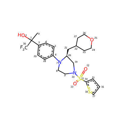 CC(O)(c1ccc(N2CCN(S(=O)(=O)c3cccs3)C[C@@H]2CC2CCOCC2)cc1)C(F)(F)F